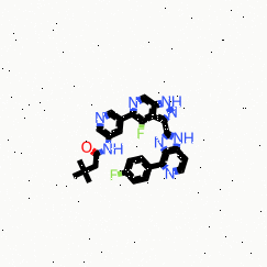 CC(C)(C)CC(=O)Nc1cncc(-c2ncc3[nH]nc(-c4nc5c(-c6ccc(F)cc6)nccc5[nH]4)c3c2F)c1